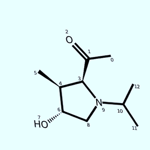 CC(=O)[C@@H]1[C@H](C)[C@@H](O)CN1C(C)C